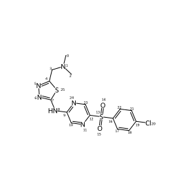 CN(C)Cc1nnc(Nc2cnc(S(=O)(=O)c3ccc(Cl)cc3)cn2)s1